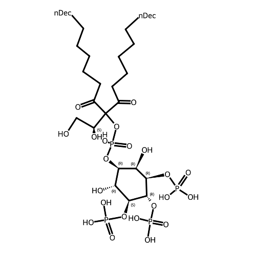 CCCCCCCCCCCCCCCC(=O)C(OP(=O)(O)O[C@H]1[C@@H](O)[C@@H](OP(=O)(O)O)[C@H](OP(=O)(O)O)[C@@H](OP(=O)(O)O)[C@@H]1O)(C(=O)CCCCCCCCCCCCCCC)[C@@H](O)CO